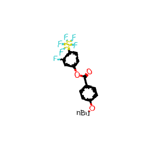 CCCCOc1ccc(C(=O)Oc2ccc(S(F)(F)(F)(F)F)c(F)c2)cc1